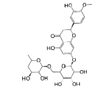 COc1ccc([C@@H]2CC(=O)c3c(O)cc(O[C@@H]4OC(CO[C@@H]5OC(C)C[C@H](O)C5O)[C@@H](O)[C@@H](O)C4O)cc3O2)cc1O